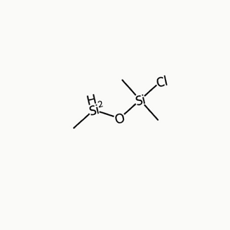 C[SiH2]O[Si](C)(C)Cl